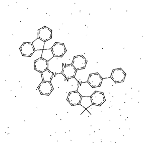 CC1(C)c2ccccc2-c2c(N(c3ccc(-c4ccccc4)cc3)c3nc(-n4c5ccccc5c5ccc6c(c54)-c4ccccc4C64c5ccccc5-c5ccccc54)nc4ccccc34)cccc21